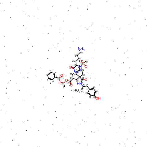 C[C@@H](OC(=O)c1ccccc1)OC(=O)[C@H](CNC(=O)[C@H](CCCCN)NS(C)(=O)=O)CC1(C(=O)N[C@@H](Cc2ccc(O)cc2)C(=O)O)CCCC1